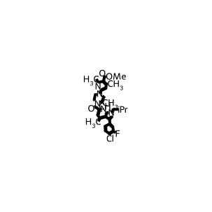 COC(=O)c1c(C)cc(N2CCN(C(=O)c3cc(C)c4c(-c5ccc(Cl)c(F)c5)cn(CC(C)C)c4n3)C(C)(C)C2)nc1C